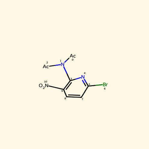 CC(=O)N(C(C)=O)c1nc(Br)ccc1[N+](=O)[O-]